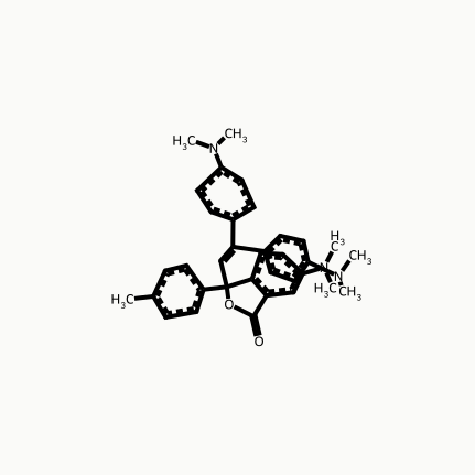 Cc1ccc(C2(C=C(c3ccc(N(C)C)cc3)c3ccc(N(C)C)cc3)OC(=O)c3cc(N(C)C)ccc32)cc1